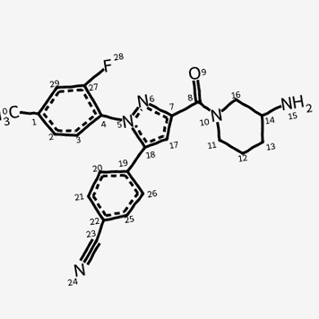 Cc1ccc(-n2nc(C(=O)N3CCCC(N)C3)cc2-c2ccc(C#N)cc2)c(F)c1